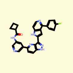 O=C(Nc1cncc(-c2ccc3[nH]nc(-c4cc5c(-c6ccc(F)cc6)nccc5[nH]4)c3n2)c1)C1CCC1